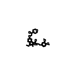 CCn1c(C)c(C(=O)NCCc2ccc(OC)c(OC)c2)c2cc(OCC(=O)N3CCOCC3)ccc21